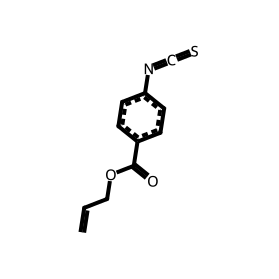 C=CCOC(=O)c1ccc(N=C=S)cc1